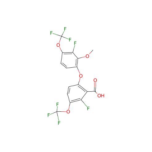 COc1c(Oc2ccc(OC(F)(F)F)c(F)c2C(=O)O)ccc(OC(F)(F)F)c1F